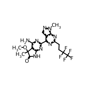 COC1(C)C(=O)Nc2nc(-c3nc(CCC(F)(F)C(F)(F)F)nc4c3cnn4C)nc(N)c21